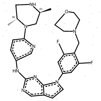 C[C@@H]1CN[C@@H](C)CN1c1ccc(Nc2ncc3ccn(-c4cc(F)c(CN5CCOCC5)c(F)c4)c3n2)cn1